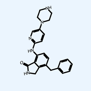 O=C1NCc2c(Cc3ccccc3)ccc(Nc3ccc(N4CCNCC4)cn3)c21